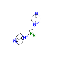 C(C[N+]12CCN(CC1)CC2)C[N+]12CCN(CC1)CC2.[Br-].[Br-]